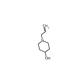 C=CCN1CCC(O)CC1